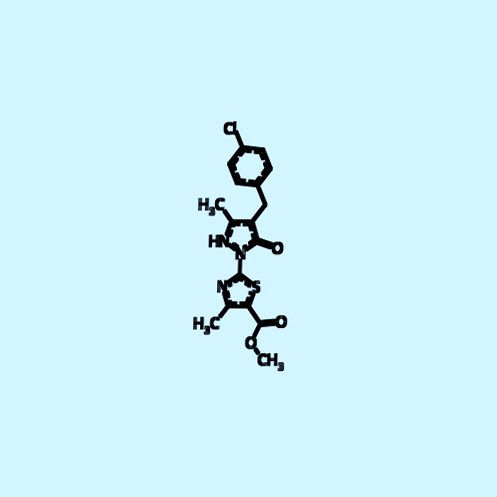 COC(=O)c1sc(-n2[nH]c(C)c(Cc3ccc(Cl)cc3)c2=O)nc1C